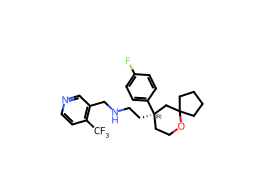 Fc1ccc([C@]2(CCNCc3cnccc3C(F)(F)F)CCOC3(CCCC3)C2)cc1